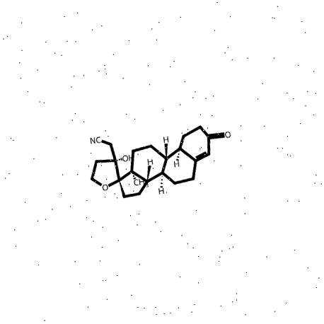 C[C@]12CC[C@H]3[C@@H](CCC4=CC(=O)CC[C@@H]43)[C@@H]1CC[C@]21OCC[C@@]1(O)CC#N